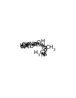 Cc1ncsc1-c1ccc([C@@H](C)CC(=O)NCCNC(=O)c2ccc(C(=O)Nc3ccc4[nH]c(CN5CCC[C@@H]5C)nc4c3)cc2)cc1